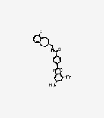 CC(C)c1cc(N)cc2nc(-c3ccc(C(=O)NCC4CCc5cccc(Cl)c5CC4)cc3)oc12